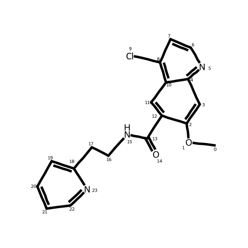 COc1cc2nccc(Cl)c2cc1C(=O)NCCc1ccccn1